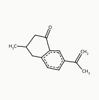 C=C(C)c1ccc2c(c1)C(=O)CC(C)C2